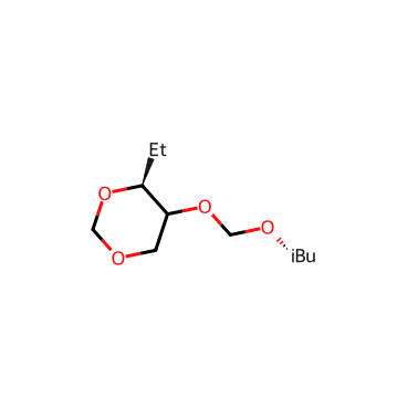 CC[C@@H](C)OCOC1COCO[C@H]1CC